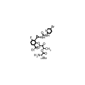 CCC(=O)c1ccc(F)c(C2CC2NC(=O)Nc2ccc(Br)cn2)c1OC(O)C(=O)C(C)OC(=O)[C@@H](N)[C@@H](C)CC